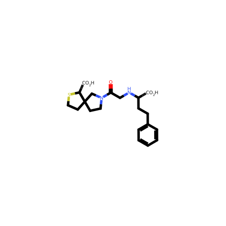 O=C(O)C(CCc1ccccc1)NCC(=O)N1CCC2(CCSC2C(=O)O)C1